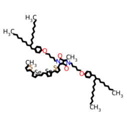 CCCCCCCCCCC(CCCCCCCC)Cc1ccc(OCCCCCN2C(=O)C3=C(c4ccc(-c5ccc(/C=C/c6ccc(-c7ccc(C)s7)[se]6)[se]5)s4)N(CCCCCOc4ccc(CC(CCCCCCCC)CCCCCCCCCC)cc4)C(=O)C3=C2C)cc1